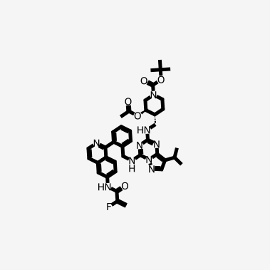 C=C(F)C(=O)Nc1ccc2c(-c3ccccc3CNc3nc(NC[C@H]4CCN(C(=O)OC(C)(C)C)C[C@@H]4OC(C)=O)nc4c(C(C)C)cnn34)nccc2c1